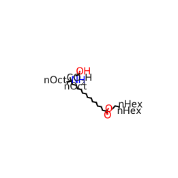 CCCCCCCCC(CCCCCCCC)C(CCCCCCCCCCCCCC(=O)OCCC(CCCCCC)CCCCCC)(NCCO)C(=O)O